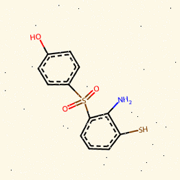 Nc1c(S)cccc1S(=O)(=O)c1ccc(O)cc1